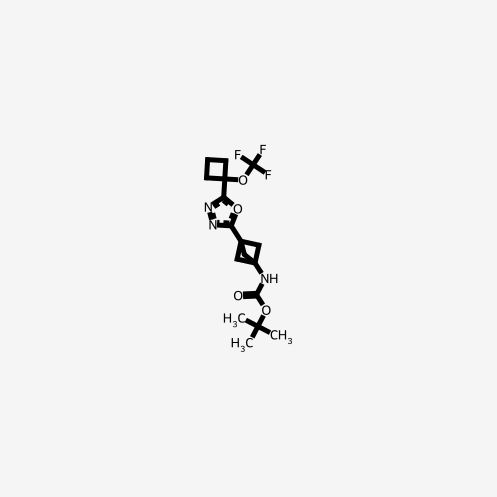 CC(C)(C)OC(=O)NC12CC(c3nnc(C4(OC(F)(F)F)CCC4)o3)(C1)C2